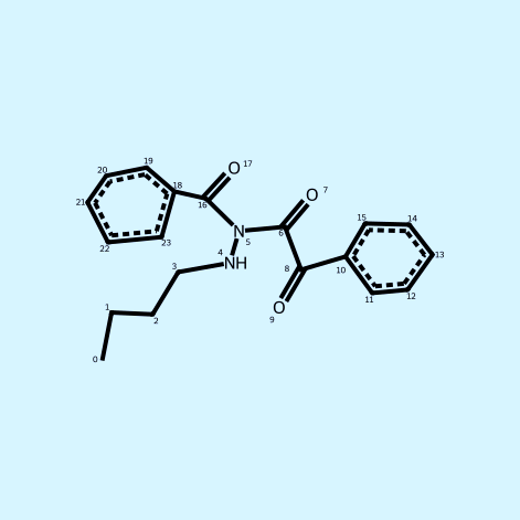 CCCCNN(C(=O)C(=O)c1ccccc1)C(=O)c1ccccc1